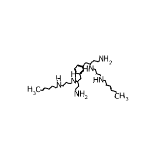 CCCCCCNCCCNC(CCN)Cc1cccc(CC(CCN)NCCCNCCCCCC)c1